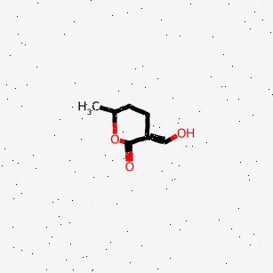 CC1CC/C(=C\O)C(=O)O1